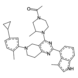 CC(=O)N1CCN(c2nc(-c3cccc4[nH]cc(C)c34)nc3c2CN(c2cc(C4CC4)ccc2C)CC3)C(C)C1